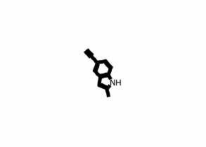 C#Cc1ccc2[nH]c(C)cc2c1